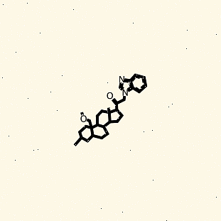 COCC12CCC(C)CC1CCC1C3CCC(C(=O)Cn4cnc5ccccc54)C3(C)CCC12